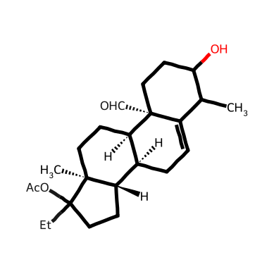 CCC1(OC(C)=O)CC[C@H]2[C@@H]3CC=C4C(C)C(O)CC[C@]4(C=O)[C@@H]3CC[C@@]21C